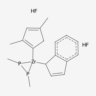 CC1=CC(C)=[C]([Zr]2([CH]3C=Cc4ccccc43)[P](C)[P]2C)C1.F.F